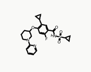 O=C(NS(=O)(=O)C1CC1)c1cc(C2CC2)c(OC2CCCN(c3ccccn3)C2)cc1F